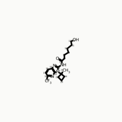 CC1(n2c(NC(=O)CCCCCCO)nc3ccc(C(F)(F)F)nc32)CCC1